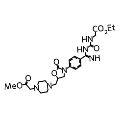 CCOC(=O)CNC(=O)NC(=N)c1ccc(N2CC(CN3CCN(CC(=O)OC)CC3)OC2=O)cc1